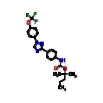 CCCC(C)(C)OC(=O)Nc1ccc(-c2ncn(-c3ccc(OC(F)(F)F)cc3)n2)cc1